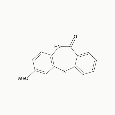 COc1ccc2c(c1)Sc1ccccc1C(=O)N2